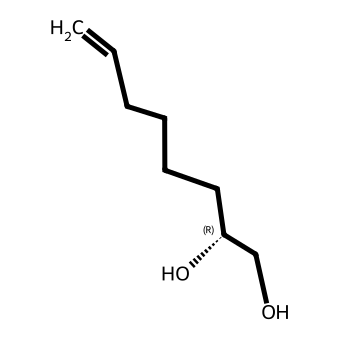 C=CCCCC[C@@H](O)CO